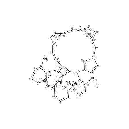 Nc1ccccc1-c1c(-c2ccccc2N)c2c(-c3ccccc3N)c3nc(cc4ccc(cc5nc(cc1n2-c1ccccc1N)C=C5)[nH]4)C=C3.[Fe]